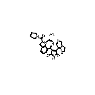 Cl.O=C1NC(=O)C(c2cncc3ccoc23)=C1C1=NC=CN2c3c(cccc31)CC2C(=O)N1CCCC1